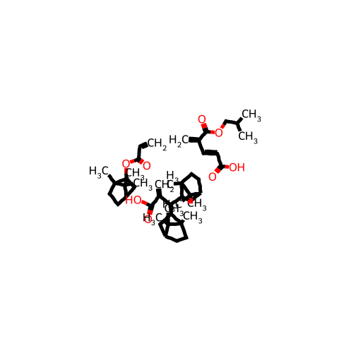 C=C(C(=O)O)C(C1CC2CCC1(C)C2(C)C)C1CC2CCC1(C)C2(C)C.C=C(C=CC(=O)O)C(=O)OCC(C)C.C=CC(=O)OC1CC2CCC1(C)C2(C)C